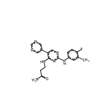 Cc1cc(Nc2ncc(-c3cncnc3)c(NCCC(N)=O)n2)ccc1F